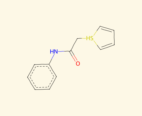 O=C(C[SH]1C=CC=C1)Nc1ccccc1